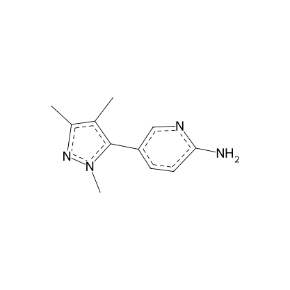 Cc1nn(C)c(-c2ccc(N)nc2)c1C